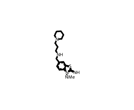 CNn1c(=N)sc2cc(CNCCCN3CCCCC3)ccc21